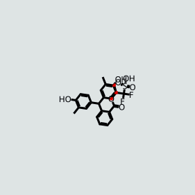 Cc1cc(C(c2ccc(O)c(C)c2)c2ccccc2C(=O)OC(C)C(F)(F)S(=O)(=O)O)ccc1O